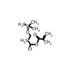 C=C(C)C(=O)OC(CC)[SiH2]CO[Si](C)(C)C